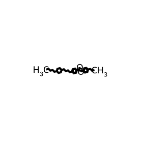 CCCCCC1CCC(CCCCc2ccc(C(=O)Oc3ccc(CCC)cc3)cc2)CC1